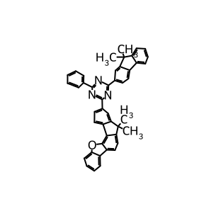 CC1(C)c2ccccc2-c2ccc(-c3nc(-c4ccccc4)nc(-c4ccc5c(c4)C(C)(C)c4ccc6c(oc7ccccc76)c4-5)n3)cc21